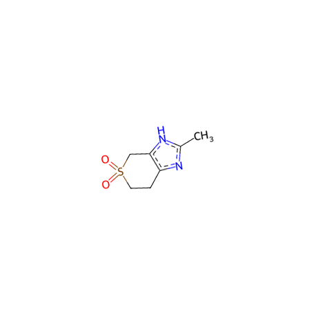 Cc1nc2c([nH]1)CS(=O)(=O)CC2